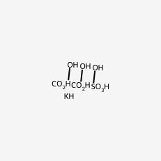 O=C(O)O.O=C(O)O.O=S(=O)(O)O.[KH]